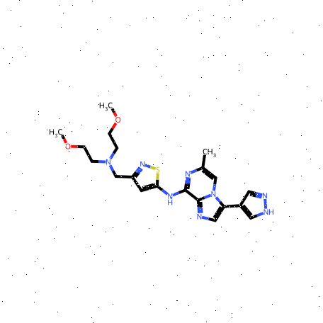 COCCN(CCOC)Cc1cc(Nc2nc(C)cn3c(-c4cn[nH]c4)cnc23)sn1